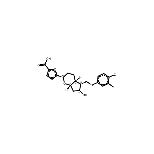 Cc1cc(OC[C@@H]2[C@H]3CC[C@H](c4ccc(C(=O)O)o4)O[C@H]3C[C@@H]2O)ccc1Cl